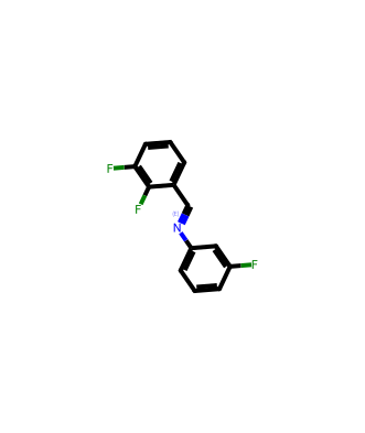 Fc1cccc(/N=C/c2cccc(F)c2F)c1